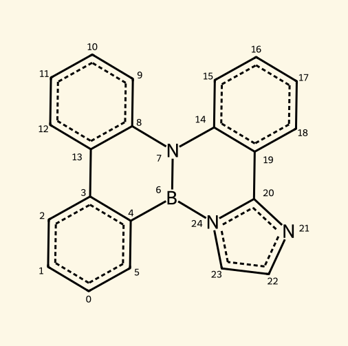 c1ccc2c(c1)B1N(c3ccccc3-2)c2ccccc2-c2nccn21